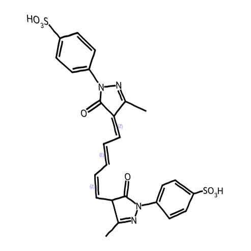 CC1=NN(c2ccc(S(=O)(=O)O)cc2)C(=O)\C1=C/C=C/C=C\C1C(=O)N(c2ccc(S(=O)(=O)O)cc2)N=C1C